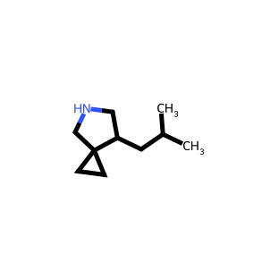 CC(C)CC1CNCC12CC2